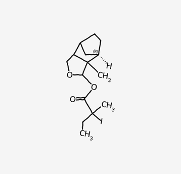 CCC(C)(I)C(=O)OC1OCC2C3CC[C@H](C3)C12C